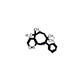 CC1(C)CCC(C)(C)/C(c2ccccc2)=C\C2=C1C=COS2